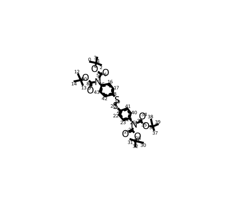 CC(C)(C)OC(=O)N(C(=O)OC(C)(C)C)c1ccc(SSc2ccc(N(C(=O)OC(C)(C)C)C(=O)OC(C)(C)C)cc2)cc1